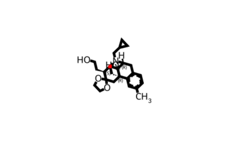 Cc1ccc2c(c1)[C@]13CCN(CC4CC4)[C@H](C2)[C@]1(O)C[C@H](CCO)C1(C3)OCCO1